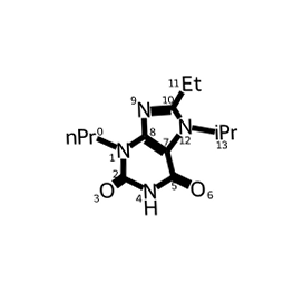 CCCn1c(=O)[nH]c(=O)c2c1nc(CC)n2C(C)C